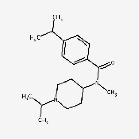 CC(C)c1ccc(C(=O)N(C)C2CCN(C(C)C)CC2)cc1